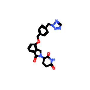 O=C1CCC(N2Cc3c(OCc4ccc(Cn5ncnn5)cc4)cccc3C2=O)C(=O)N1